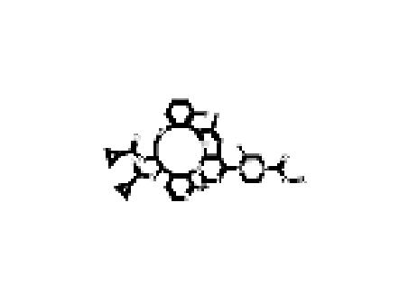 CC(C)c1nccc2c1-n1c(=O)nc(N3CCN(C(=O)OC(C)(C)C)C[C@@H]3C)c3cc(F)c(nc31)-c1c(F)cccc1OCC(OC(=O)C1CC1)C2OC(=O)C1CC1